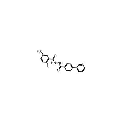 O=C(NNC(=O)c1cc(C(F)(F)F)ccc1Cl)c1ccc(-c2cccnc2)cc1